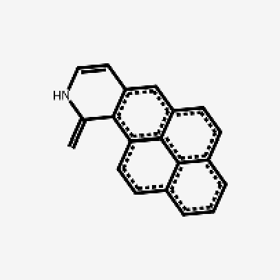 C=C1NC=Cc2cc3ccc4cccc5ccc(c21)c3c45